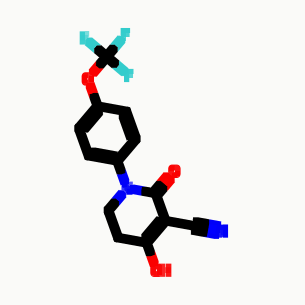 N#CC1=C(O)CCN(c2ccc(OC(F)(F)F)cc2)C1=O